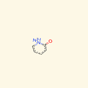 O=c1cccc[nH]1.[N]